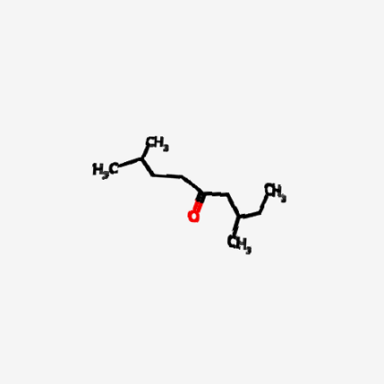 CCC(C)CC(=O)CCC(C)C